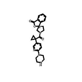 O=C1O[C@]2(CCN(C(=O)C3(c4ccc(N5CCNCC5)nc4)CC3)C2)c2ccccc21